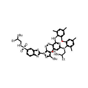 CCCCC(CC)CNS(=O)(=O)c1ccc2nc(-n3nc(C(C)(C)C)c(C#N)c3/N=N\c3c(C)cc(N(CC(CC)CCCC)c4c(C)cc(C)cc4C)nc3Nc3c(C)cc(C)cc3C)sc2c1